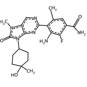 Cc1cc(C(N)=O)c(F)c(N)c1-c1ncc2c(n1)n(C1CCC(C)(O)CC1)c(=O)n2C